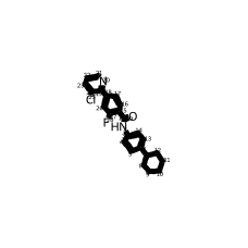 O=C(Nc1ccc(C2CCCCC2)cc1)c1ccc(-c2ncccc2Cl)cc1F